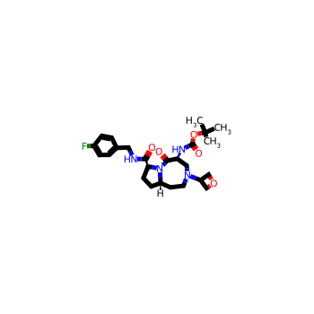 CC(C)(C)OC(=O)N[C@H]1CN(C2COC2)CC[C@H]2CC[C@@H](C(=O)NCc3ccc(F)cc3)N2C1=O